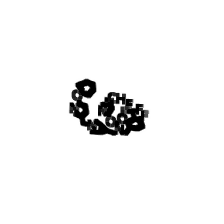 Cn1cnc(OC(=O)N(Cc2ccc(F)c(C(F)(F)F)c2)CC2C3CN(Cc4ccc(Oc5ccccc5)nc4)CC32)c1